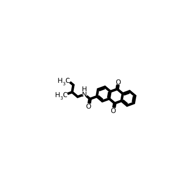 CCC(C)CNC(=O)c1ccc2c(c1)C(=O)c1ccccc1C2=O